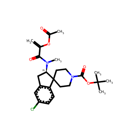 C=C(OC(C)=O)C(=O)N(C)[C@@H]1Cc2cc(Cl)ccc2C12CCN(C(=O)OC(C)(C)C)CC2